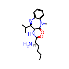 CCCC[C@H](N)C(=O)NC1C(=O)N(C)c2ccccc2N=C1C(C)C